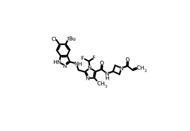 C=CC(=O)N1CC(NC(=O)c2c(C)nc(CNc3n[nH]c4cc(Cl)c(C(C)(C)C)cc34)n2C(F)F)C1